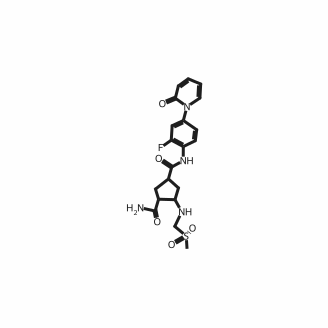 CS(=O)(=O)CNC1CC(C(=O)Nc2ccc(-n3ccccc3=O)cc2F)CC1C(N)=O